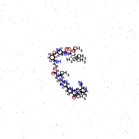 COC(=O)[C@H](CCC(C)(C)C)NC(=O)c1ccc(Oc2cccc(NCCOCC(=O)N3CCN(c4ncc(-c5ccc6c(n5)N(Cc5cccnc5C#N)C(C)(C)C6=O)cn4)C[C@H]3C)c2)nc1